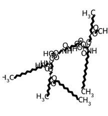 CCCCCCCCCCCCCC(=O)N[C@H](COCC[C@@H](CCCCCCC)OC(C)=O)COP(=O)(O)OCCNC(=O)NCCOP(=O)(O)OC[C@@H](COCC[C@@H](CCCCCCC)OC(=O)CCCCCCCCCCC)NC(=O)NCCCCCCCCCCCC